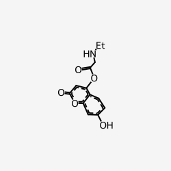 CCNCC(=O)Oc1cc(=O)oc2cc(O)ccc12